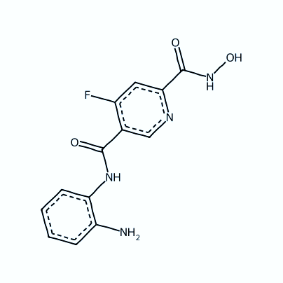 Nc1ccccc1NC(=O)c1cnc(C(=O)NO)cc1F